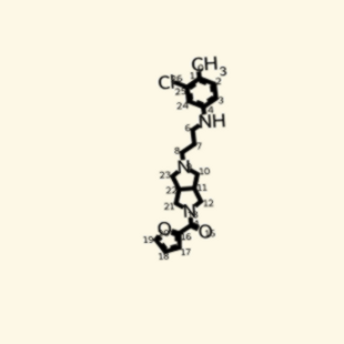 Cc1ccc(NCCCN2CC3CN(C(=O)c4ccco4)CC3C2)cc1Cl